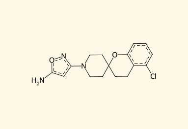 Nc1cc(N2CCC3(CCc4c(Cl)cccc4O3)CC2)no1